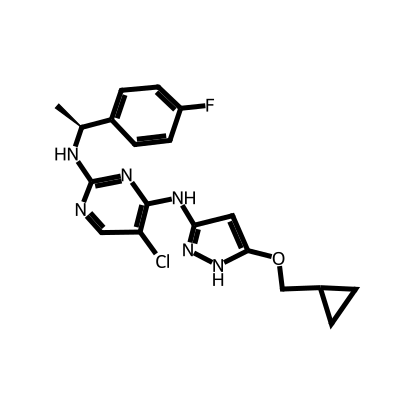 C[C@H](Nc1ncc(Cl)c(Nc2cc(OCC3CC3)[nH]n2)n1)c1ccc(F)cc1